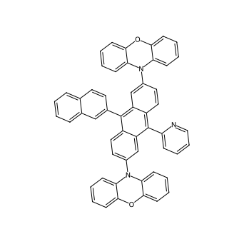 c1ccc(-c2c3ccc(N4c5ccccc5Oc5ccccc54)cc3c(-c3ccc4ccccc4c3)c3ccc(N4c5ccccc5Oc5ccccc54)cc23)nc1